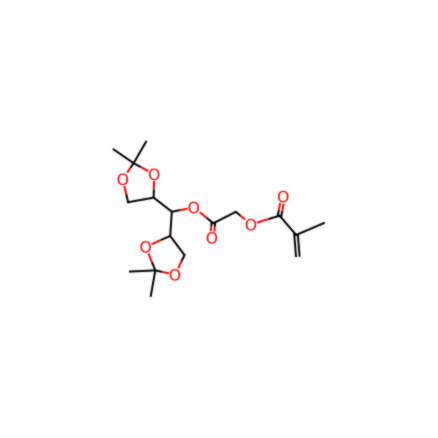 C=C(C)C(=O)OCC(=O)OC(C1COC(C)(C)O1)C1COC(C)(C)O1